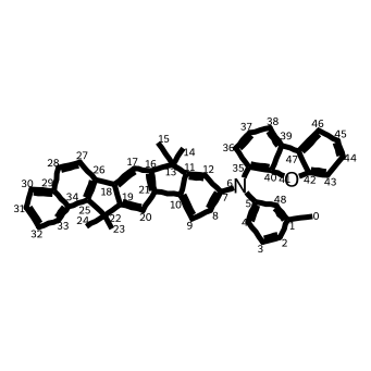 Cc1cccc(N(c2ccc3c(c2)C(C)(C)c2cc4c(cc2-3)C(C)(C)c2c-4ccc3ccccc23)c2cccc3c2oc2ccccc23)c1